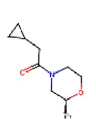 CC(C)[C@H]1CN(C(=O)CC2CC2)CCO1